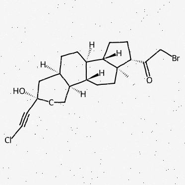 C[C@]12CC[C@H]3[C@@H](CC[C@@H]4C[C@](O)(C#CCl)CC[C@@H]43)[C@@H]1CC[C@@H]2C(=O)CBr